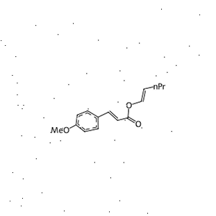 CCCC=COC(=O)C=Cc1ccc(OC)cc1